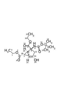 CCOC(=O)[C@H]1[C@H]2[C@@H]1[C@](NC(=O)OC(C)(C)C)(C(=O)OCC)C[C@@H]2O